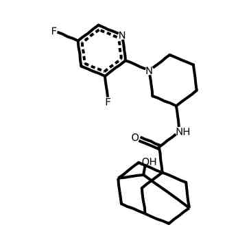 O=C(NC1CCCN(c2ncc(F)cc2F)C1)C12CC3CC(C1)C(O)C(C3)C2